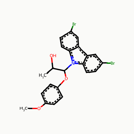 COc1ccc(OC(C(C)O)n2c3ccc(Br)cc3c3cc(Br)ccc32)cc1